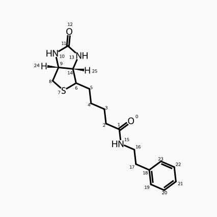 O=C(CCCCC1SC[C@@H]2NC(=O)N[C@H]12)NCCc1ccccc1